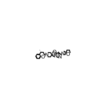 C[C@H](CC(=O)N1CCC(O)(Cn2cnc(N3CC4(CCCO4)C3)cc2=O)CC1)c1ccccc1